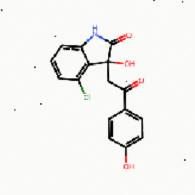 O=C(CC1(O)C(=O)Nc2cccc(Cl)c21)c1ccc(O)cc1